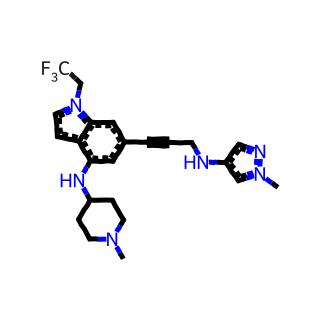 CN1CCC(Nc2cc(C#CCNc3cnn(C)c3)cc3c2ccn3CC(F)(F)F)CC1